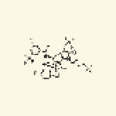 C[Si](C)(C)CCOCn1c(=O)n(CC(F)(F)F)c2cc(NC(=O)c3cc(F)cc(C(F)(F)F)c3)c3c(c21)C(=O)NC3(O)c1cc(F)ccc1Cl